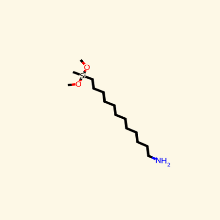 CO[Si](C)(CCCCCCCCCCCCN)OC